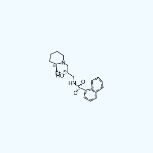 CC[C@H]1CCCCN1C[C@@H](O)CNS(=O)(=O)c1cccc2ccccc12